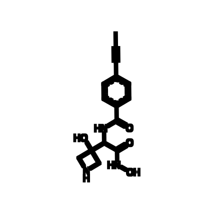 CC#Cc1ccc(C(=O)NC(C(=O)NO)C2(O)CNC2)cc1